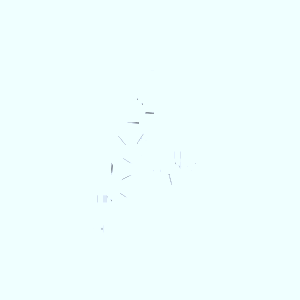 C=C(NSCC)OCC1/C(=C/C(=C)C(=O)NCCO)C(=C)c2ccc(C(=O)NCCO)cc21